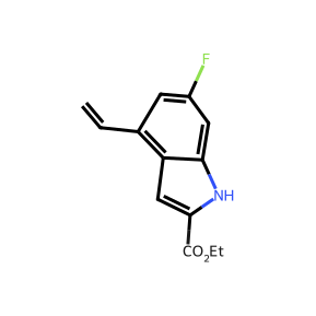 C=Cc1cc(F)cc2[nH]c(C(=O)OCC)cc12